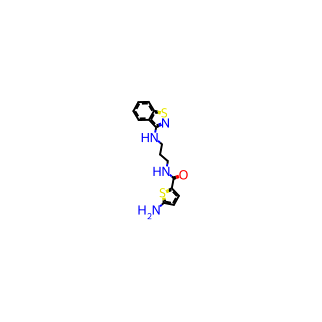 Nc1ccc(C(=O)NCCCNc2nsc3ccccc23)s1